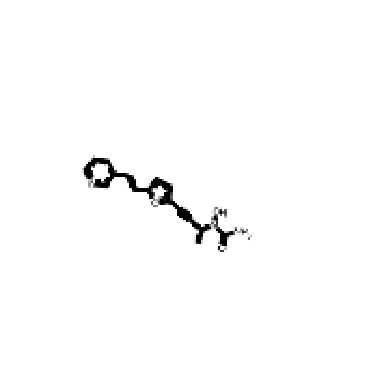 CC(C#Cc1ccc(C=Cc2cccnc2)o1)N(O)C(N)=O